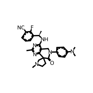 Cc1nc(N[C@H](C)c2cccc(C#N)c2F)c2c(n1)C1(CCN(C)C1)C(=O)N(c1ccc(N(C)C)cc1)C2